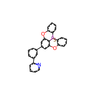 S=P12c3ccccc3Oc3cc(-c4cccc(-c5ccccn5)c4)cc(c31)Oc1ccccc12